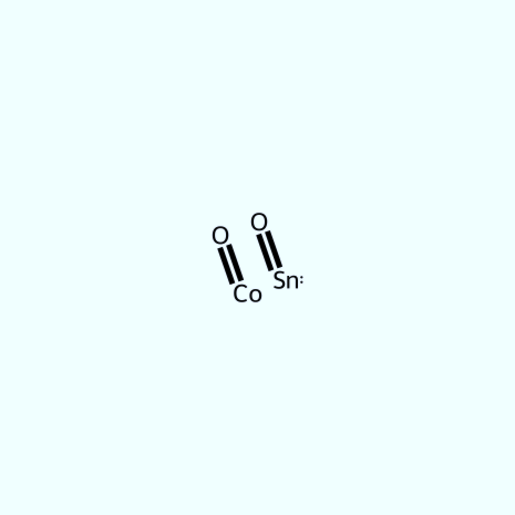 [O]=[Co].[O]=[Sn]